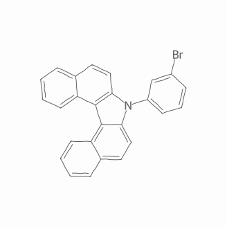 Brc1cccc(-n2c3ccc4ccccc4c3c3c4ccccc4ccc32)c1